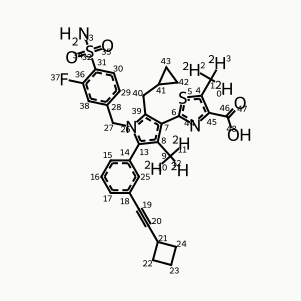 [2H]C([2H])([2H])c1sc(-c2c(C([2H])([2H])[2H])c(-c3cccc(C#CC4CCC4)c3)n(Cc3ccc(S(N)(=O)=O)c(F)c3)c2CC2CC2)nc1C(=O)O